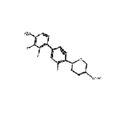 CCCCCC1CCC(c2ccc(-c3ccc(CCCC)c(F)c3F)cc2F)OC1